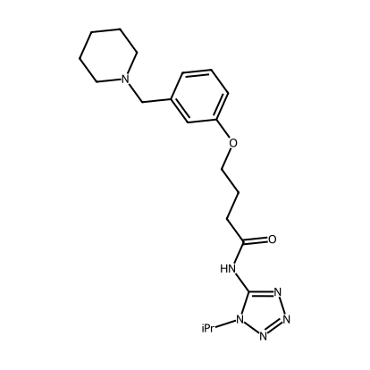 CC(C)n1nnnc1NC(=O)CCCOc1cccc(CN2CCCCC2)c1